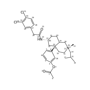 CC(=O)Oc1cccc([C@]23CC[N@@+](C)(CC(C)C)CC2CC[C@@H](NC(=O)Cc2ccc(Cl)c(Cl)c2)C3)c1